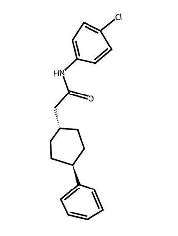 O=C(C[C@H]1CC[C@H](c2ccccc2)CC1)Nc1ccc(Cl)cc1